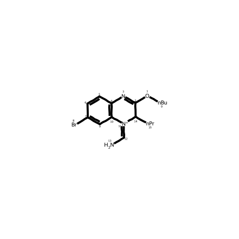 CCCCOC1=Nc2ccc(Br)cc2[N+](=CN)C1CCC